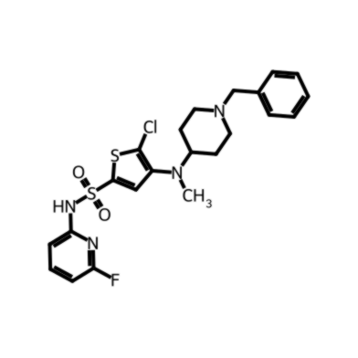 CN(c1cc(S(=O)(=O)Nc2cccc(F)n2)sc1Cl)C1CCN(Cc2ccccc2)CC1